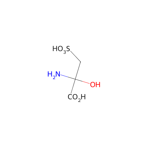 NC(O)(CS(=O)(=O)O)C(=O)O